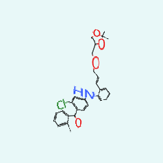 Cc1ccccc1C(=O)c1ccc(Nc2ccccc2C=CCOCC2COC(C)(C)O2)cc1Cl